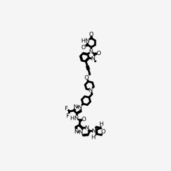 Cn1c(=O)n(C2CCC(=O)NC2=O)c2cccc(C#CCOC3CCN(CC4CCC(n5cc(NC(=O)c6cnn7ccc(N8C[C@H]9C[C@@H]8CO9)nc67)c(C(F)F)n5)CC4)CC3)c21